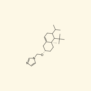 CC(C)C1CC=C2C[C@@H](OCn3ccnc3)CC[C@]2(C)C1C(C)(C)C